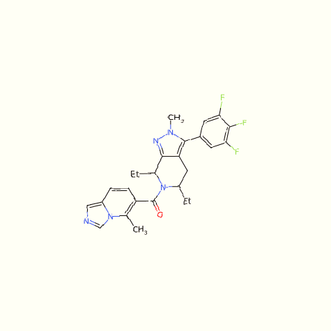 CCC1Cc2c(nn(C)c2-c2cc(F)c(F)c(F)c2)C(CC)N1C(=O)c1ccc2cncn2c1C